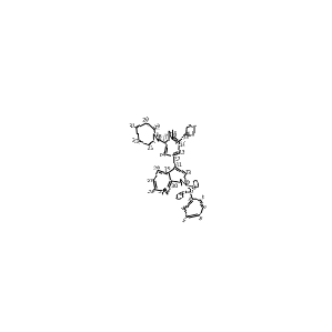 O=S(=O)(c1ccccc1)n1cc(-c2cc(Cl)nc(N3CCCCC3)c2)c2cccnc21